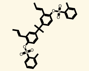 CC=Cc1cc(C(C)(C)c2ccc(OS(=O)(=O)c3ccccc3C)c(C=CC)c2)ccc1OS(=O)(=O)c1ccccc1C